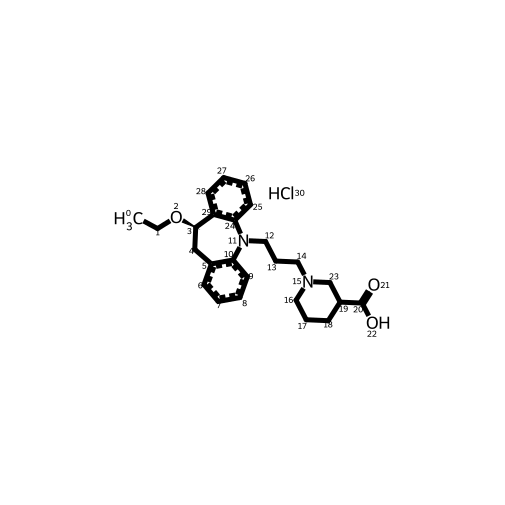 CCO[C@@H]1Cc2ccccc2N(CCCN2CCCC(C(=O)O)C2)c2ccccc21.Cl